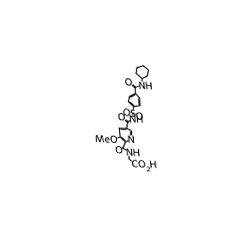 COc1cc(C(=O)NS(=O)(=O)c2ccc(C(=O)NC3CCCCC3)cc2)cnc1C(=O)NCC(=O)O